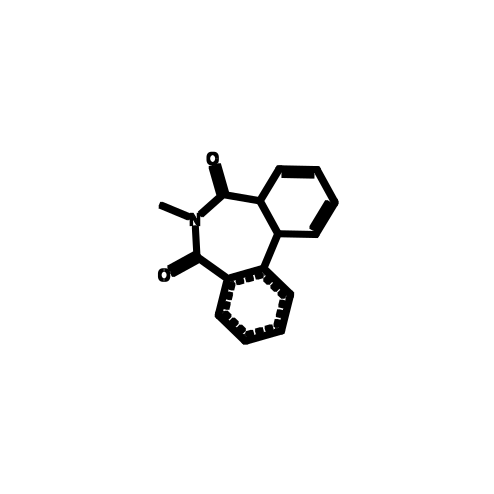 CN1C(=O)c2ccccc2C2C=CC=CC2C1=O